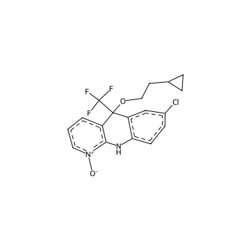 [O-][n+]1cccc2c1Nc1ccc(Cl)cc1C2(OCCC1CC1)C(F)(F)F